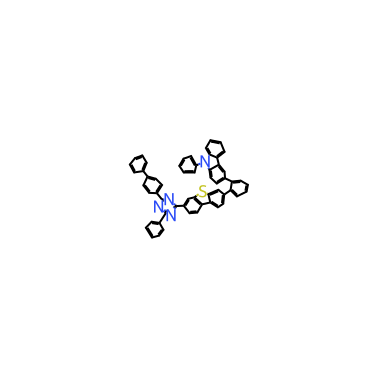 c1ccc(-c2ccc(-c3nc(-c4ccccc4)nc(-c4ccc5c(c4)sc4cc(-c6ccccc6-c6ccc7c(c6)c6ccccc6n7-c6ccccc6)ccc45)n3)cc2)cc1